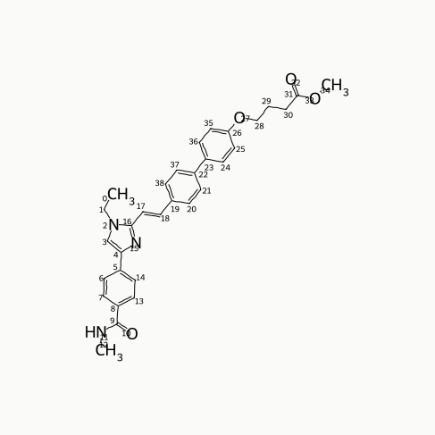 CCn1cc(-c2ccc(C(=O)NC)cc2)nc1/C=C/c1ccc(-c2ccc(OCCCC(=O)OC)cc2)cc1